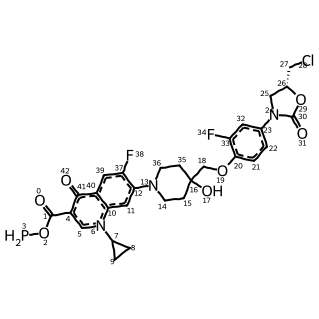 O=C(OP)c1cn(C2CC2)c2cc(N3CCC(O)(COc4ccc(N5C[C@H](CCl)OC5=O)cc4F)CC3)c(F)cc2c1=O